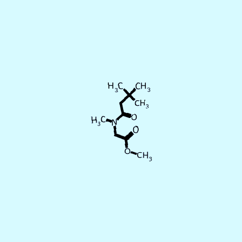 COC(=O)CN(C)C(=O)CC(C)(C)C